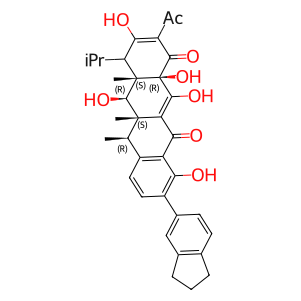 CC(=O)C1=C(O)C(C(C)C)[C@@]2(C)[C@H](O)[C@]3(C)C(=C(O)[C@@]2(O)C1=O)C(=O)c1c(ccc(-c2ccc4c(c2)CCC4)c1O)[C@H]3C